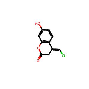 O=C1CC(=CCl)c2ccc(O)cc2O1